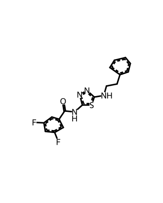 O=C(Nc1nnc(NCCc2ccccc2)s1)c1cc(F)cc(F)c1